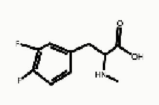 CNC(Cc1ccc(F)c(F)c1)C(=O)O